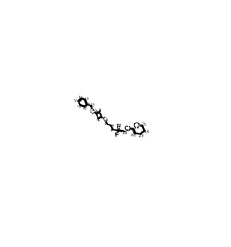 FC(F)(CCCOC1CC(OCc2ccccc2)C1)COC1CCCCO1